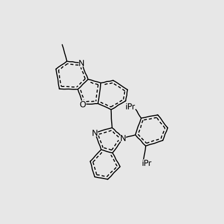 Cc1ccc2oc3c(-c4nc5ccccc5n4-c4c(C(C)C)cccc4C(C)C)cccc3c2n1